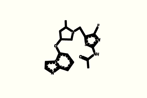 CC(=O)Nc1nc(F)c(CN2CC(Oc3cccc4nccn34)CC2C)s1